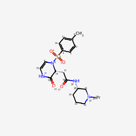 Cc1ccc(S(=O)(=O)N2C=CNC(=O)[C@H]2CC(=O)N[C@H]2CCCN(C(C)C)C2)cc1